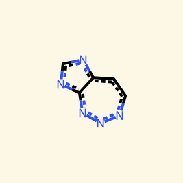 c1cc2ncnc-2nnn1